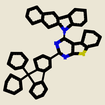 c1ccc(C2(c3ccccc3)c3ccccc3-c3cc(-c4nc(-n5c6ccccc6c6cc7ccccc7cc65)c5c(n4)sc4ccccc45)ccc32)cc1